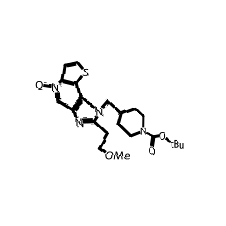 COCCc1nc2c[n+]([O-])c3ccsc3c2n1CC1CCN(C(=O)OC(C)(C)C)CC1